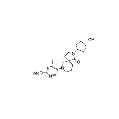 COc1cc(C)c(N2CCC[C@]3(CCN([C@H]4CC[C@@H](O)CC4)C3=O)C2)cn1